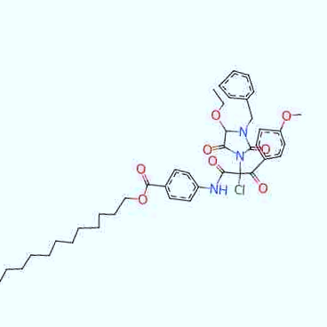 CCCCCCCCCCCCOC(=O)c1ccc(NC(=O)C(Cl)(C(=O)c2ccc(OC)cc2)N2C(=O)C(OCC)N(Cc3ccccc3)C2=O)cc1